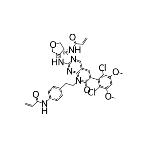 C=CC(=O)Nc1ccc(CCn2c(=O)c(-c3c(Cl)c(OC)cc(OC)c3Cl)cc3cnc(N[C@@H]4COC[C@@H]4NC(=O)C=C)nc32)cc1